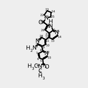 CN(C)C(=O)c1ccc(-c2cc(-c3ccnc4[nH]c(C(=O)N5CCCC5)cc34)cnc2N)nc1